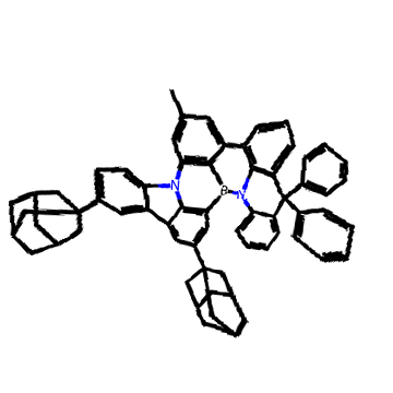 Cc1cc2c3c(c1)-n1c4ccc(C56CC7CC(CC(C7)C5)C6)cc4c4cc(C56CC7CC(CC(C7)C5)C6)cc(c41)B3N1c3ccccc3C(c3ccccc3)(c3ccccc3)c3cccc-2c31